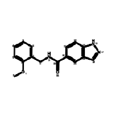 COc1ccccc1CNC(=O)c1ccc2[nH]ncc2c1